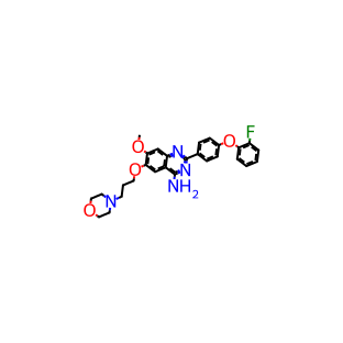 COc1cc2nc(-c3ccc(Oc4ccccc4F)cc3)nc(N)c2cc1OCCCN1CCOCC1